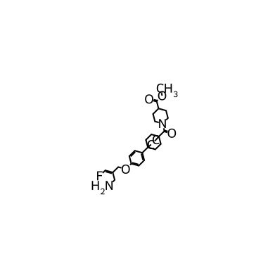 COC(=O)C1CCN(C(=O)C23CCC(c4ccc(OC/C(=C/F)CN)cc4)(CC2)CC3)CC1